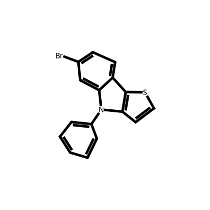 Brc1ccc2c3sccc3n(-c3ccccc3)c2c1